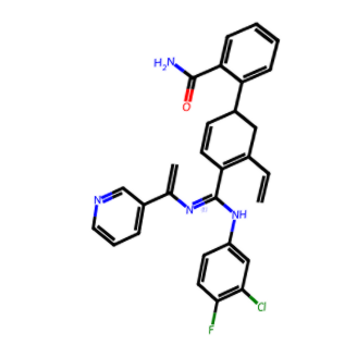 C=CC1=C(/C(=N\C(=C)c2cccnc2)Nc2ccc(F)c(Cl)c2)C=CC(c2ccccc2C(N)=O)C1